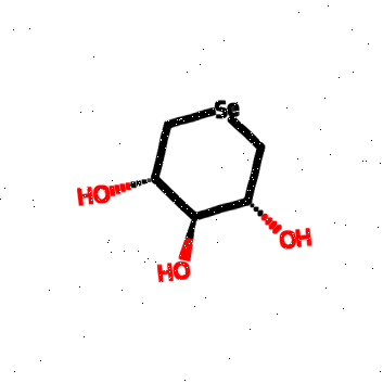 O[C@H]1[C@H](O)C[Se]C[C@@H]1O